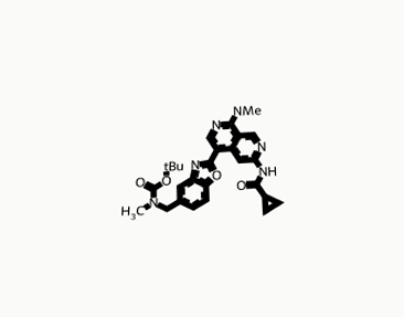 CNc1ncc(-c2nc3cc(CN(C)C(=O)OC(C)(C)C)ccc3o2)c2cc(NC(=O)C3CC3)ncc12